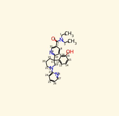 CCN(CC)C(=O)c1ccc(C2(c3cccc(O)c3)CCCN(c3ccccn3)C2)nc1